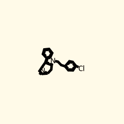 CN1C2CCC1c1c(n(CCc3ccc(Cl)cc3)c3ccccc13)C2